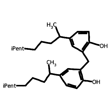 CCCC(C)CCCC(C)c1ccc(O)c(Cc2cc(C(C)CCCC(C)CCC)ccc2O)c1